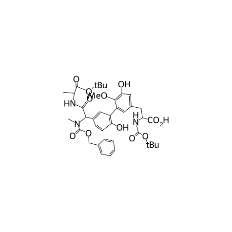 COc1c(O)cc(CC(NC(=O)OC(C)(C)C)C(=O)O)cc1-c1cc(C(C(=O)NC(C)C(=O)OC(C)(C)C)N(C)C(=O)OCc2ccccc2)ccc1O